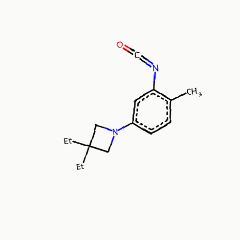 CCC1(CC)CN(c2ccc(C)c(N=C=O)c2)C1